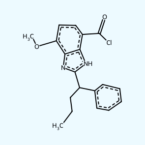 CCCC(c1ccccc1)c1nc2c(OC)ccc(C(=O)Cl)c2[nH]1